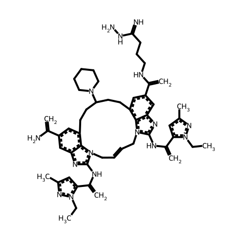 C=C(N)c1cc2c3c(c1)nc(NC(=C)c1cc(C)nn1CC)n3C/C=C/Cn1c(NC(=C)c3cc(C)nn3CC)nc3cc(C(=C)NCCCC(=N)NN)cc(c31)CCC(N1CCCCC1)CC2